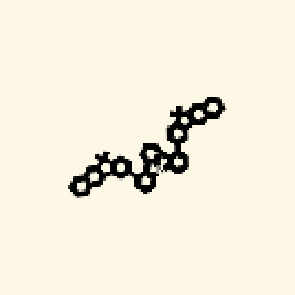 CC1(C)c2ccc(-c3cccc4c3c3cccc5c6c(-c7ccc8c(c7)-c7cc9ccccc9cc7C8(C)C)cccc6n4c35)cc2-c2cc3ccccc3cc21